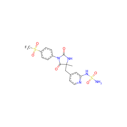 CC1(Cc2ccnc(NS(N)(=O)=O)c2)NC(=O)N(c2ccc(S(=O)(=O)C(F)(F)F)cc2)C1=O